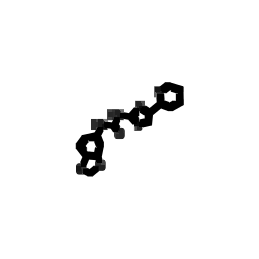 O=C(Nc1ccc2c(c1)OCO2)Nc1nc(-c2ccccn2)cs1